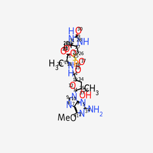 COc1nc(N)nc2c1ncn2C1OC(COP(=O)(N[C@H](C)C(=O)OC(C)C)SCC2NC(=O)NC2=O)C[C@@]1(C)O